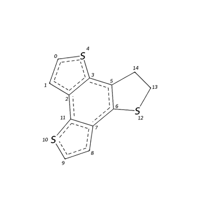 c1cc2c(s1)c1c(c3ccsc32)SCC1